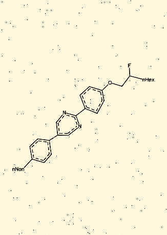 CCCCCCCCCc1ccc(-c2cnc(-c3ccc(OCC(F)CCCCCC)cc3)nc2)cc1